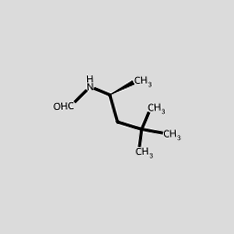 C[C@@H](CC(C)(C)C)NC=O